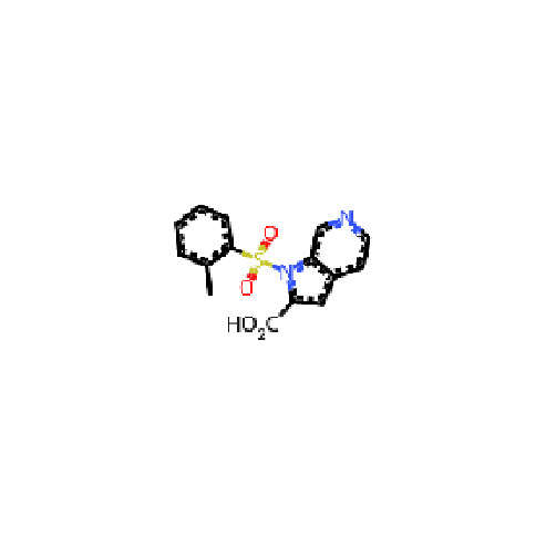 Cc1ccccc1S(=O)(=O)n1c(C(=O)O)cc2ccncc21